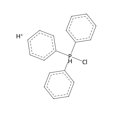 Cl[PH](c1ccccc1)(c1ccccc1)c1ccccc1.[H+]